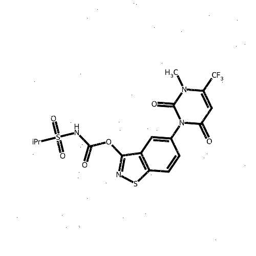 CC(C)S(=O)(=O)NC(=O)Oc1nsc2ccc(-n3c(=O)cc(C(F)(F)F)n(C)c3=O)cc12